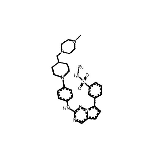 CN1CCN(CC2CCN(c3ccc(Nc4ncc5ccc(-c6cccc(S(=O)(=O)NC(C)(C)C)c6)n5n4)cc3)CC2)CC1